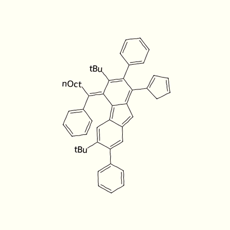 CCCCCCCCC(c1ccccc1)=c1c(C(C)(C)C)c(-c2ccccc2)c(C2=CC=CC2)c2c1=c1cc(C(C)(C)C)c(-c3ccccc3)cc1=C2